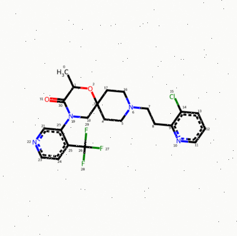 CC1OC2(CCN(CCc3ncccc3Cl)CC2)CN(c2cnccc2C(F)(F)F)C1=O